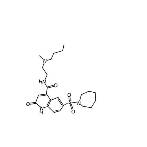 CCCCN(C)CCNC(=O)c1cc(=O)[nH]c2ccc(S(=O)(=O)N3CCCCCC3)cc12